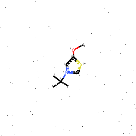 COc1c[n+](C(C)(C)C)cs1